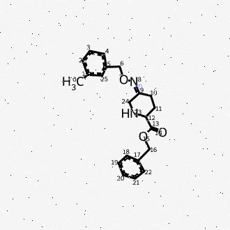 Cc1cccc(CO/N=C2/CCC(C(=O)OCc3ccccc3)NC2)c1